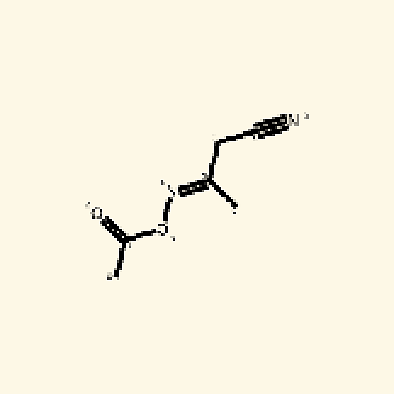 CC(=O)O/N=C(\C)CC#N